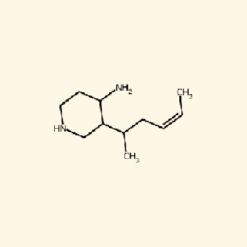 C/C=C\CC(C)C1CNCCC1N